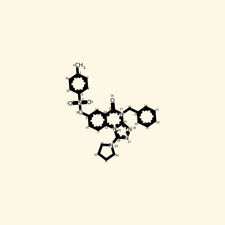 Cc1ccc(S(=O)(=O)Oc2ccc3c(c2)c(=O)n(Cc2ccccc2)c2nnc(N4CCCC4)n32)cc1